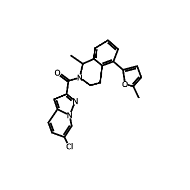 Cc1ccc(-c2cccc3c2CCN(C(=O)c2cc4ccc(Cl)cn4n2)C3C)o1